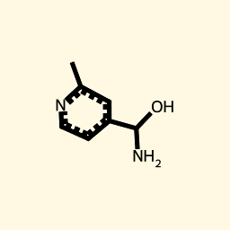 Cc1cc(C(N)O)ccn1